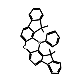 CC1(C)c2ccccc2-c2ccc3c(c21)N(c1ccccc1)c1c(ccc2c1C(C)(C)c1ccccc1-2)O3